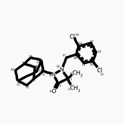 CC1(C)C(=O)N(C2C3CC4CC(C3)CC2C4)N1Cc1cc(Cl)ccc1Cl